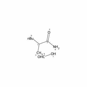 CCCCC(C)C(N)=O.O=CO